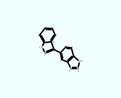 [c]1c(-c2nsc3ccccc23)ccc2onnc12